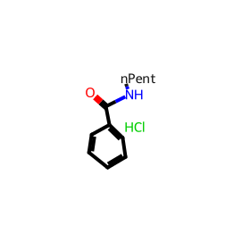 CCCCCNC(=O)c1ccccc1.Cl